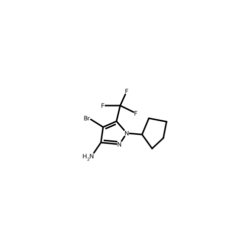 Nc1nn(C2CCCC2)c(C(F)(F)F)c1Br